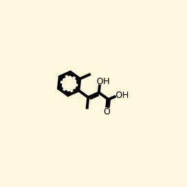 CC(=C(O)C(=O)O)c1ccccc1C